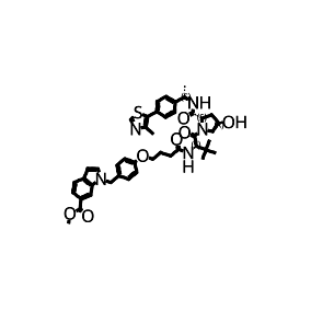 COC(=O)c1ccc2ccn(Cc3ccc(OCCCC(=O)N[C@H](C(=O)N4C[C@H](O)C[C@H]4C(=O)N[C@@H](C)c4ccc(-c5scnc5C)cc4)C(C)(C)C)cc3)c2c1